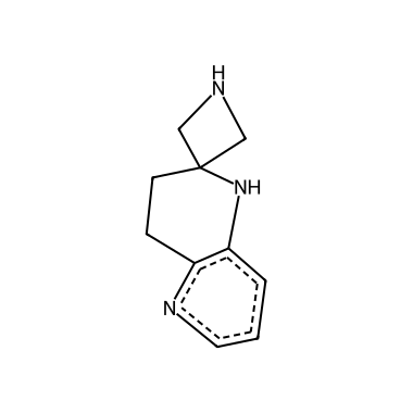 c1cnc2c(c1)NC1(CC2)CNC1